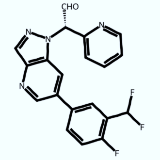 O=C[C@H](c1ccccn1)n1ncc2ncc(-c3ccc(F)c(C(F)F)c3)cc21